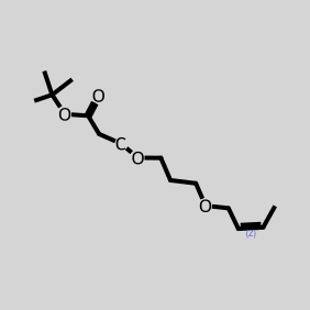 C/C=C\COCCCOCCC(=O)OC(C)(C)C